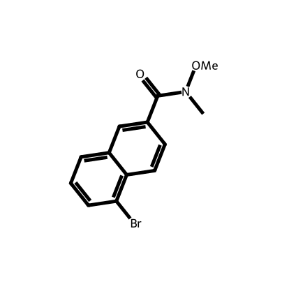 CON(C)C(=O)c1ccc2c(Br)cccc2c1